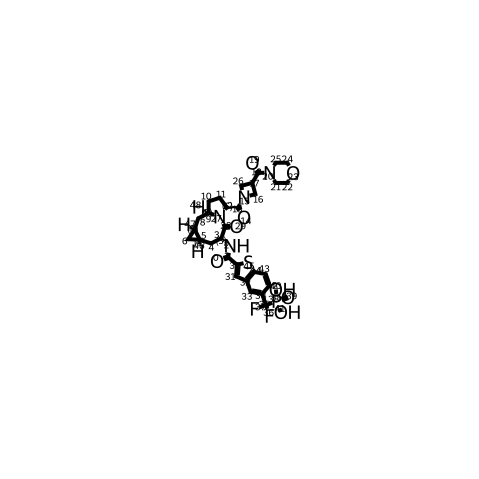 O=C(N[C@H]1C[C@@H]2C[C@@H]2C[C@H]2CC[C@@H](C(=O)N3CC(C(=O)N4CCOCC4)C3)N2C1=O)c1cc2cc(C(F)(F)P(=O)(O)O)ccc2s1